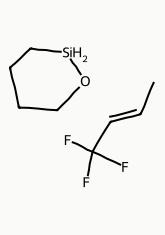 C/C=C/C(F)(F)F.C1CC[SiH2]OC1